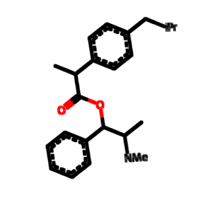 CNC(C)C(OC(=O)C(C)c1ccc(CC(C)C)cc1)c1ccccc1